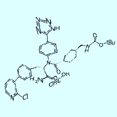 CC(C)(C)OC(=O)NC[C@H]1CC[C@H](C(=O)N(c2ccc(-c3nnn[nH]3)cc2)[C@@H](Cc2ccc(-c3cccnc3Cl)cc2)C(N)=O)CC1.O=CO